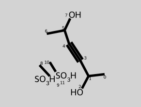 CC(O)C#CC(C)O.CS(=O)(=O)O.CS(=O)(=O)O